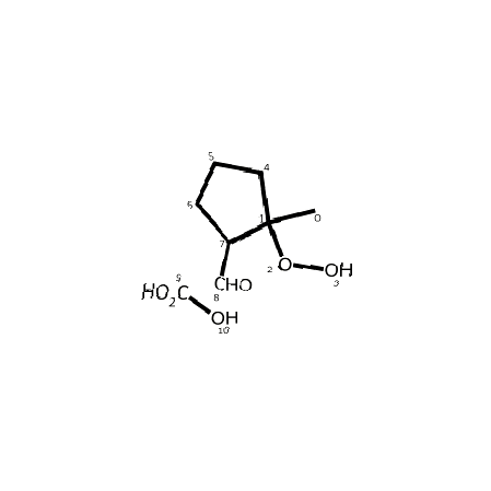 CC1(OO)CCCC1C=O.O=C(O)O